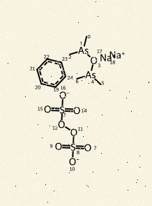 C[As](C)O[As](C)C.O=S(=O)([O-])OOS(=O)(=O)[O-].[Na+].[Na+].c1ccccc1